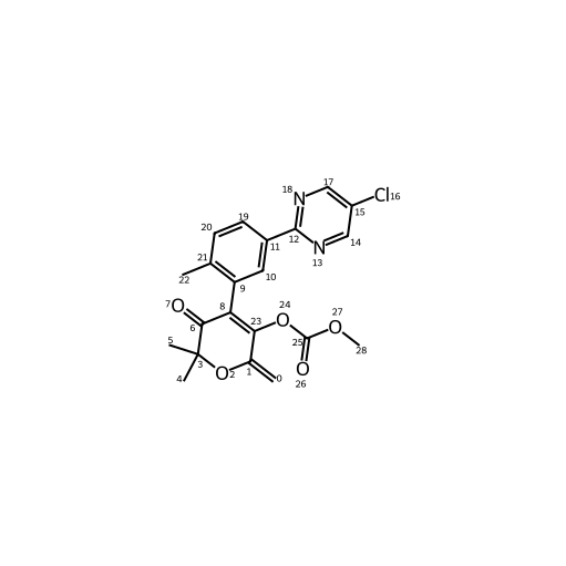 C=C1OC(C)(C)C(=O)C(c2cc(-c3ncc(Cl)cn3)ccc2C)=C1OC(=O)OC